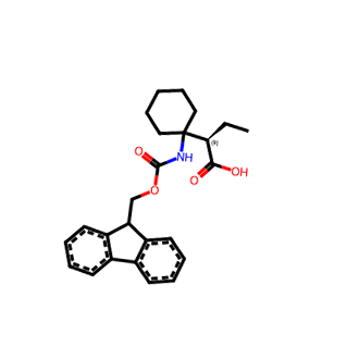 CC[C@@H](C(=O)O)C1(NC(=O)OCC2c3ccccc3-c3ccccc32)CCCCC1